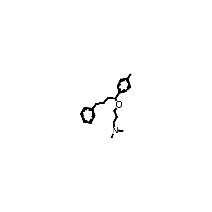 Cc1ccc(C(CCCc2ccccc2)OCCCN(C)C)cc1